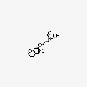 CCN(CC)CCCOc1ccc2c(c1)OCCC2.Cl